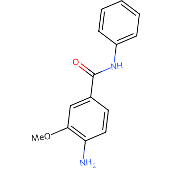 COc1cc(C(=O)Nc2ccccc2)ccc1N